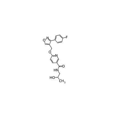 CC(O)CNC(=O)c1ccc(OCc2conc2-c2ccc(F)cc2)nc1